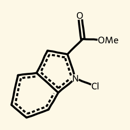 COC(=O)c1cc2ccccc2n1Cl